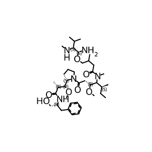 CC[C@H](C)C([C@@H](CC(=O)N1CCC[C@H]1[C@H](OC)[C@@H](C)C(=O)N[C@@H](CO)Cc1ccccc1)OC)N(C)C(=O)CC(C)CO[C@H](N)[C@@H](NC)C(C)C